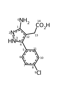 Nc1n[nH]c(-c2ccc(Cl)cc2)c1CC(=O)O